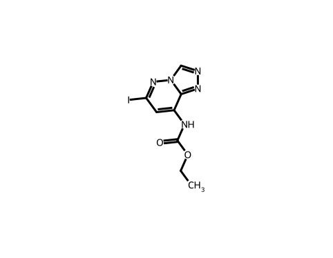 CCOC(=O)Nc1cc(I)nn2cnnc12